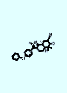 Cn1nc2c(c1-c1ccc(Oc3ccccc3)cc1)CC[C@H]1C(C)(C)C(=O)C(C#N)=C[C@]21C